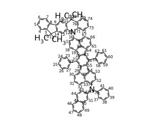 CC1(C)c2ccccc2-c2cc3c(cc21)N(c1ccc2c4c(-c5ccccc5)c5c6cccc7c(N(c8ccccc8)c8ccc9ccccc9c8)ccc(c5c(-c5ccccc5)c4c4cccc1c42)c76)c1ccccc1C3(C)C